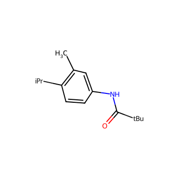 Cc1cc(NC(=O)C(C)(C)C)ccc1C(C)C